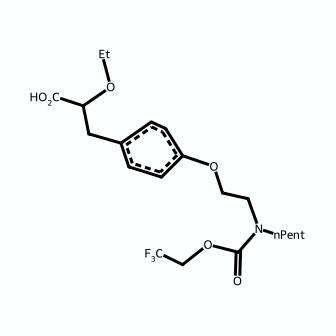 CCCCCN(CCOc1ccc(CC(OCC)C(=O)O)cc1)C(=O)OCC(F)(F)F